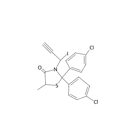 C#CC(I)N1C(=O)C(C)SC1(c1ccc(Cl)cc1)c1ccc(Cl)cc1